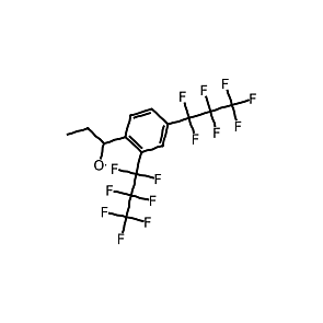 CCC([O])c1ccc(C(F)(F)C(F)(F)C(F)(F)F)cc1C(F)(F)C(F)(F)C(F)(F)F